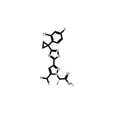 C[C@@H](C(N)=O)n1nc(-c2nc(C3(c4ccc(F)cc4Cl)CC3)no2)cc1C(F)F